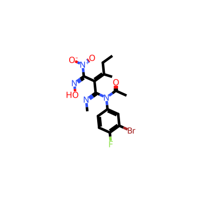 CC/C(C)=C(C(=N/C)/N(C(C)=O)c1ccc(F)c(Br)c1)\C(=N/O)[N+](=O)[O-]